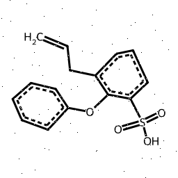 C=CCc1cccc(S(=O)(=O)O)c1Oc1ccccc1